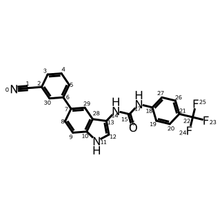 N#Cc1cccc(-c2ccc3[nH]cc(NC(=O)Nc4ccc(C(F)(F)F)cc4)c3c2)c1